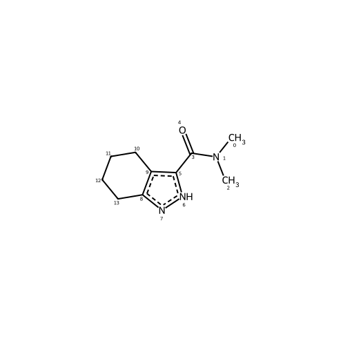 CN(C)C(=O)c1[nH]nc2c1CCCC2